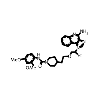 CCC(COCCC1CCN(C(=O)Nc2ccc(OC)cc2OC)CC1)n1cnc2c(N)nc3ccccc3c21